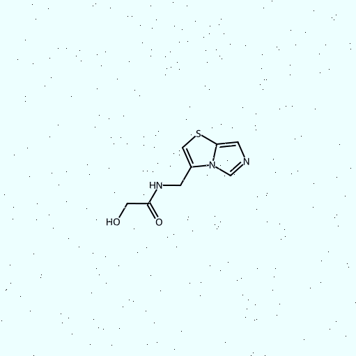 O=C(CO)NCc1csc2cncn12